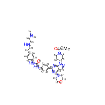 COC(=O)N1CCC(n2ncc3c(N4CCOCC4)nc(-c4ccc(NC(=O)Nc5ccc(CCNCCN(C)C)cc5)cc4)nc32)CC1